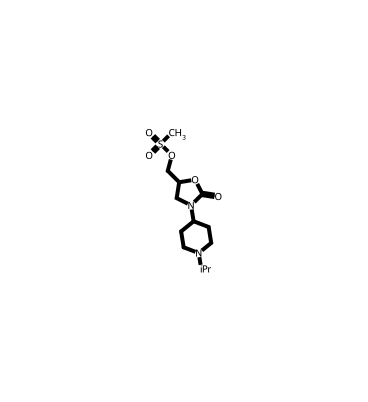 CC(C)N1CCC(N2CC(COS(C)(=O)=O)OC2=O)CC1